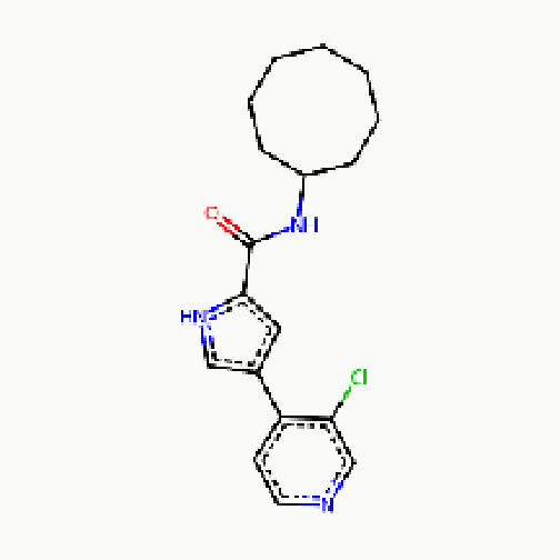 O=C(NC1CCCCCCC1)c1cc(-c2ccncc2Cl)c[nH]1